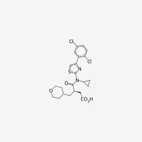 O=C(O)C[C@@H](CC1CCOCC1)C(=O)N(c1nc(-c2cc(Cl)ccc2Cl)cs1)C1CC1